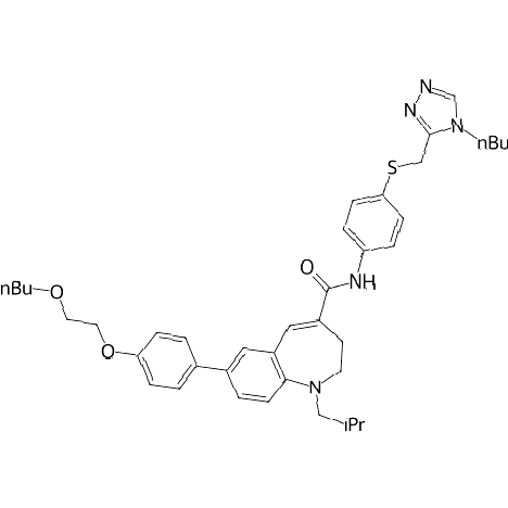 CCCCOCCOc1ccc(-c2ccc3c(c2)C=C(C(=O)Nc2ccc(SCc4nncn4CCCC)cc2)CCN3CC(C)C)cc1